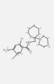 Nc1cc(F)c(C(=O)NCC2(N3CCOCC3)CCCCCC2)cc1F